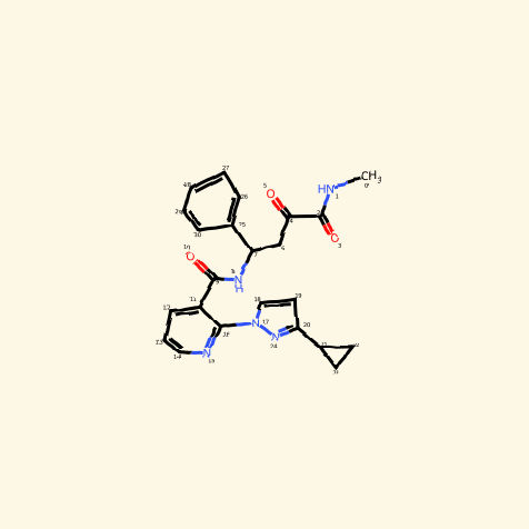 CNC(=O)C(=O)CC(NC(=O)c1cccnc1-n1ccc(C2CC2)n1)c1ccccc1